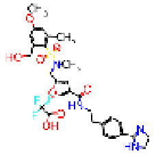 COc1cc(C)c(S(=O)(=O)N(C)Cc2cc(C(=O)NCCc3ccc(C4=NCCN4)cc3)co2)c(CO)c1.O=C(O)C(F)(F)F